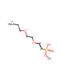 CCOP(=O)(O)CCOCCOCCOC